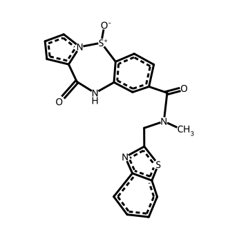 CN(Cc1nc2ccccc2s1)C(=O)c1ccc2c(c1)NC(=O)c1cccn1[S+]2[O-]